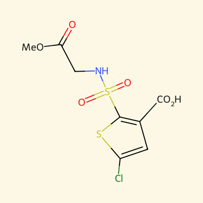 COC(=O)CNS(=O)(=O)c1sc(Cl)cc1C(=O)O